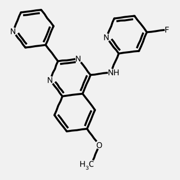 COc1ccc2nc(-c3cccnc3)nc(Nc3cc(F)ccn3)c2c1